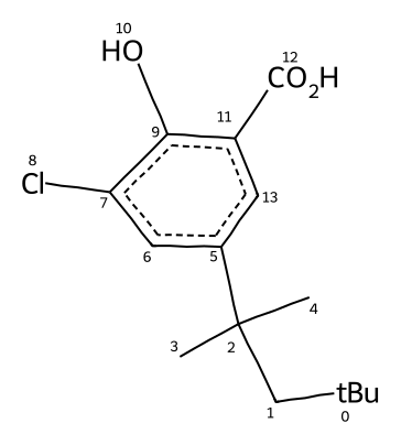 CC(C)(C)CC(C)(C)c1cc(Cl)c(O)c(C(=O)O)c1